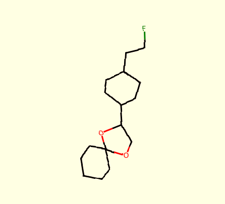 FCCC1CCC(C2COC3(CCCCC3)O2)CC1